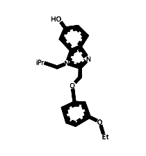 CCOc1cccc(OCc2nc3ccc(O)cc3n2CC(C)C)c1